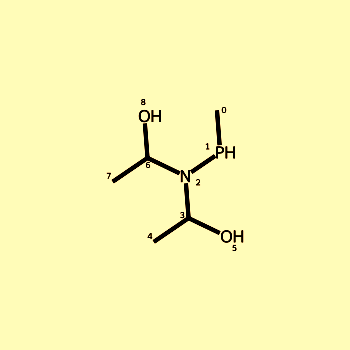 CPN(C(C)O)C(C)O